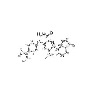 CNc1nc(Nc2ccc(C3(SC)CC3)cc2)c(C(N)=O)nc1-c1cncc2c1ncn2C